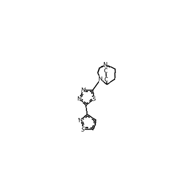 c1cc(-c2nnc(N3CCN4CCC3CC4)s2)ns1